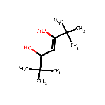 CC(C)(C)/C(O)=C/C(O)C(C)(C)C